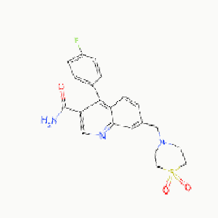 NC(=O)c1cnc2cc(CN3CCS(=O)(=O)CC3)ccc2c1-c1ccc(F)cc1